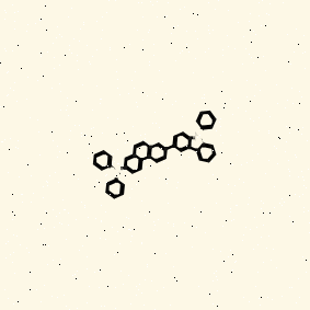 c1ccc(N(c2ccccc2)c2ccc3c(ccc4cc(-c5ccc6c(c5)c5ccccc5n6-c5ccccc5)ccc43)c2)cc1